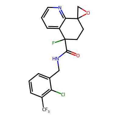 O=C(NCc1cccc(C(F)(F)F)c1Cl)C1(F)CCC2(CO2)c2ncccc21